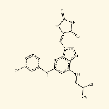 CC(O)CNc1cc(Nc2cccc(Cl)c2)nc2c(C=C3NC(=O)NC3=O)cnn12